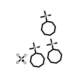 C[N+](C)(C)C1CCCCCCC1.C[N+](C)(C)C1CCCCCCC1.C[N+](C)(C)C1CCCCCCC1.O=P([O-])([O-])[O-]